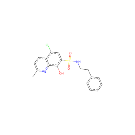 Cc1ccc2c(Cl)cc(S(=O)(=O)NCCc3ccccc3)c(O)c2n1